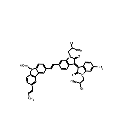 C/C=C/c1ccc2c(c1)c1cc(/C=C/c3ccc4c(c3)N(CC(CC)CCCC)C(=O)/C4=C3/C(=O)N(CC(CC)CCCC)c4cc(C)ccc43)ccc1n2CCCCCCCC